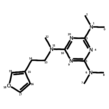 CN(C)c1nc(N(C)C)nc(N(C)CCc2ccoc2)n1